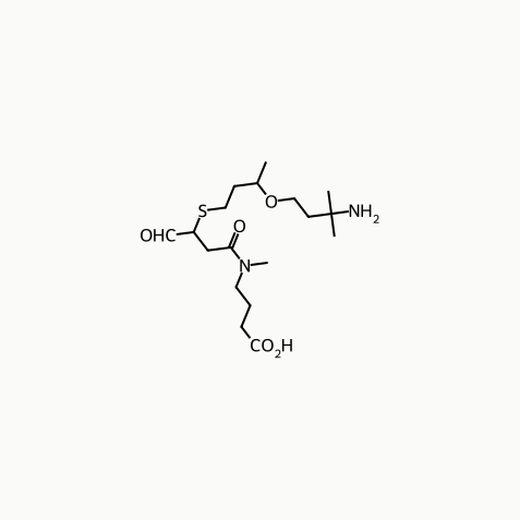 CC(CCSC(C=O)CC(=O)N(C)CCCC(=O)O)OCCC(C)(C)N